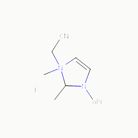 CCCN1C=C[N+](C)(CC#N)C1C.[I-]